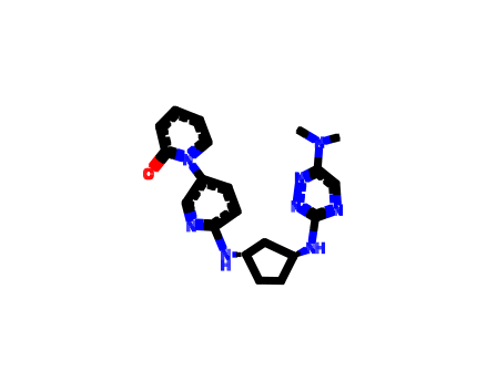 CN(C)c1cnc(N[C@H]2CC[C@H](Nc3ccc(-n4ccccc4=O)cn3)C2)nn1